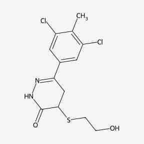 Cc1c(Cl)cc(C2=NNC(=O)C(SCCO)C2)cc1Cl